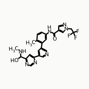 CNC(O)c1cc(-c2cncc(-c3cc(NC(=O)c4cnn(CC(F)(F)F)c4)ccc3C)c2)ncn1